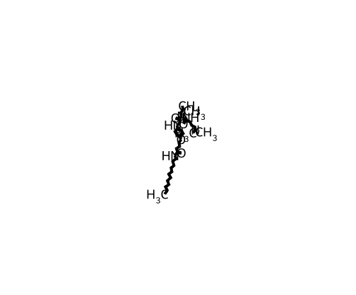 CCCCCCCCCCCCNC(=O)CCCOc1ccc(NCC(=O)N(CC(C)C)NC(=O)CCCN(C)C)cc1